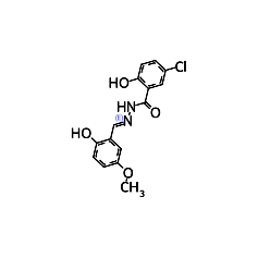 COc1ccc(O)c(/C=N/NC(=O)c2cc(Cl)ccc2O)c1